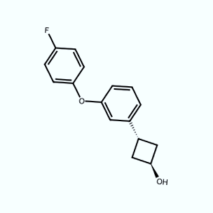 O[C@H]1C[C@H](c2cccc(Oc3ccc(F)cc3)c2)C1